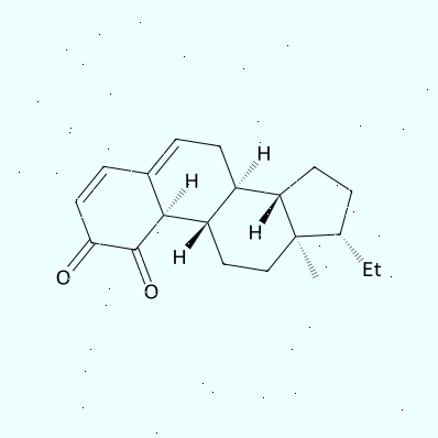 CC[C@H]1CC[C@H]2[C@@H]3CC=C4C=CC(=O)C(=O)[C@@H]4[C@H]3CC[C@]12C